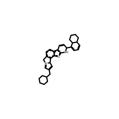 C1=CC2CCCCC2C(C2C=Cc3c(oc4c5c(ccc34)C[N+]3=CC(CC4CCCCC4)=CC53)N2)=C1